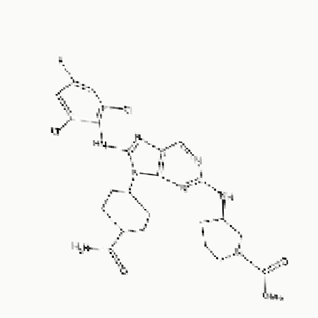 COC(=O)N1CCC[C@@H](Nc2ncc3nc(Nc4c(Cl)cc(F)cc4Cl)n(C4CCC(C(N)=O)CC4)c3n2)C1